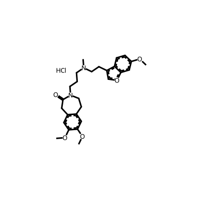 COc1ccc2c(CCN(C)CCCN3CCc4cc(OC)c(OC)cc4CC3=O)coc2c1.Cl